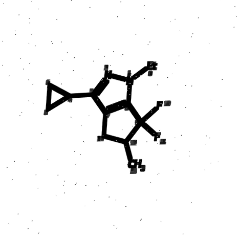 CCn1nc(C2CC2)c2c1C(F)(F)C(C)C2